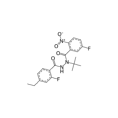 CCc1ccc(C(=O)NN(C(=O)c2cc(F)ccc2[N+](=O)[O-])C(C)(C)C)c(F)c1